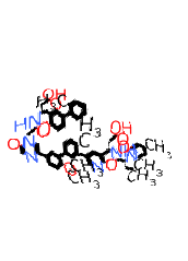 COc1ccc(-c2cn(CC(=O)N[C@@H](CC(=O)O)c3cccc(-c4ccccc4C)c3)c(=O)cn2)cc1-c1ccc(C)c(-c2cncc([C@H](CC(=O)O)NC(=O)[C@@H](CC(C)C)n3ccc(C)cc3=O)c2)c1C